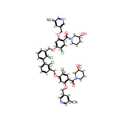 N#Cc1cncc(COc2cc(OCc3cccc(-c4cccc(COc5cc(OCc6cncc(C#N)c6)c(C(=O)N6CCCC(O)C6)cc5Cl)c4Cl)c3Cl)c(Cl)cc2C(=O)N2CCCC(O)C2)c1